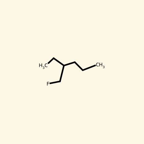 CCCC(CC)CF